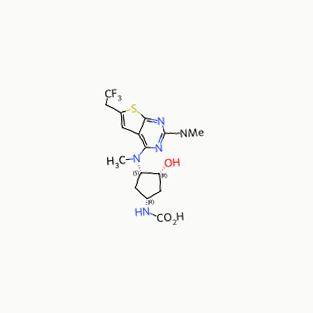 CNc1nc(N(C)[C@H]2C[C@@H](NC(=O)O)C[C@H]2O)c2cc(CC(F)(F)F)sc2n1